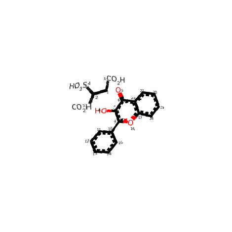 O=C(O)CC(C(=O)O)S(=O)(=O)O.O=c1c(O)c(-c2ccccc2)oc2ccccc12